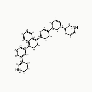 C1=CC(C2CC=CNC2)CC(C2=CC=C(C3=c4ccccc4=C(c4cccc(C5=CNCCC5)c4)CC3)CC2)=C1